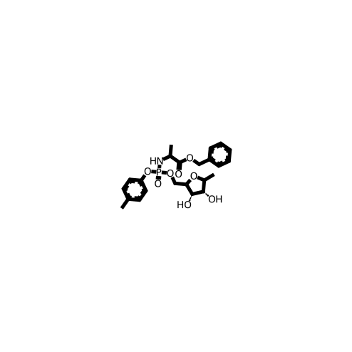 Cc1ccc(OP(=O)(NC(C)C(=O)OCc2ccccc2)OCC2OC(C)[C@H](O)[C@@H]2O)cc1